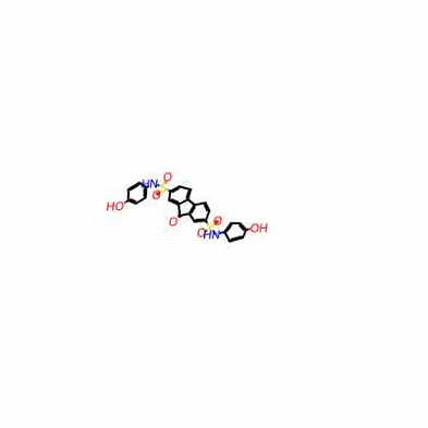 O=C1c2cc(S(=O)(=O)Nc3ccc(O)cc3)ccc2-c2ccc(S(=O)(=O)Nc3ccc(O)cc3)cc21